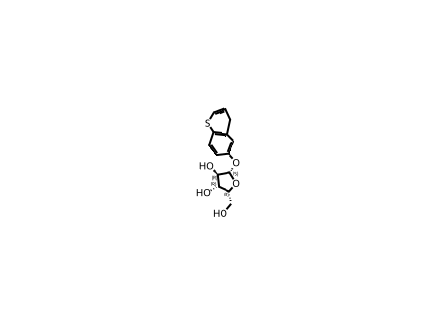 OC[C@H]1O[C@@H](Oc2ccc3c(c2)CC=CS3)[C@H](O)[C@H]1O